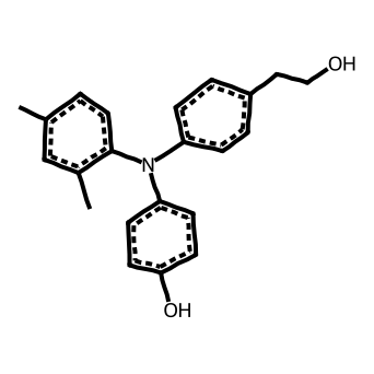 Cc1ccc(N(c2ccc(O)cc2)c2ccc(CCO)cc2)c(C)c1